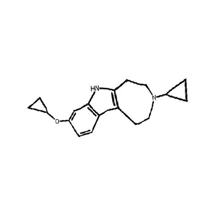 c1cc2c3c([nH]c2cc1OC1CC1)CCN(C1CC1)CC3